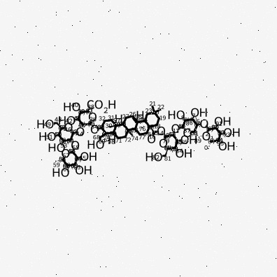 C[C@@H]1O[C@@H](O[C@@H]2[C@@H](O)[C@@H](O)[C@H](O[C@H]3[C@H](OC(=O)[C@]45CCC(C)(C)C[C@H]4C4=CC[C@@H]6[C@@]7(C)CC[C@H](O[C@@H]8O[C@H](C(=O)O)[C@@H](O)[C@H](O)[C@H]8O[C@@H]8O[C@H](CO)[C@H](O)[C@H](O)[C@H]8O[C@@H]8O[C@@H](C)[C@H](O)[C@@H](O)[C@H]8O)[C@](C)(CO)[C@@H]7CC[C@@]6(C)[C@]4(C)CC5)O[C@H](CO)[C@@H](O)[C@@H]3O)O[C@H]2C)[C@H](O)[C@H](O)[C@H]1O